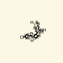 COCCC1C(=N)NC(c2cc(NC(=O)c3ccc(Cl)cn3)ccc2F)C[S+]1[O-]